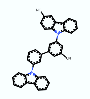 N#Cc1cc(-c2cccc(-n3c4ccccc4c4ccccc43)c2)cc(-n2c3ccccc3c3cc(C#N)ccc32)c1